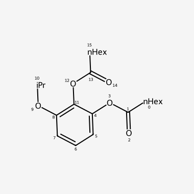 CCCCCCC(=O)Oc1cccc(OC(C)C)c1OC(=O)CCCCCC